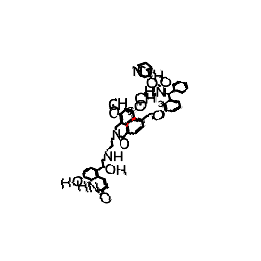 COc1ccc(CN(CCCNC[C@@H](O)c2ccc(O)c3[nH]c(=O)ccc23)C(=O)c2ccc(COc3cccc(C(NC(=O)O[C@H]4CN5CCC4CC5)c4ccccc4)c3)cc2)c(OC)c1